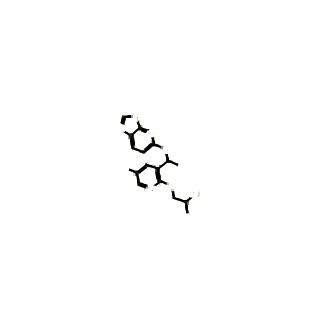 CC(N)COc1ncc(F)cc1C(C)Nc1ccc2nc[nH]c2n1